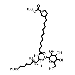 CCCCCCCCCCCCCC[C@@H](O)[C@@H](O)[C@H](COC1OC(CO)C(O)C(O)C1O)NC(=O)CCCCCCCCCCC1CCN(C(=O)OC(C)(C)C)C1